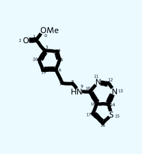 COC(=O)c1ccc(CCNc2ncnc3sccc23)cc1